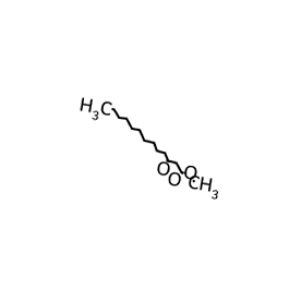 CCCCCCCCCCC(=O)CC(=O)OC